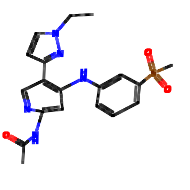 CCn1ccc(-c2cnc(NC(C)=O)cc2Nc2cccc(S(C)(=O)=O)c2)n1